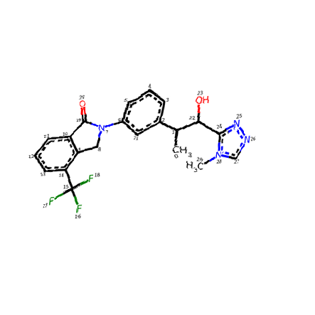 CC(c1cccc(N2Cc3c(cccc3C(F)(F)F)C2=O)c1)C(O)c1nncn1C